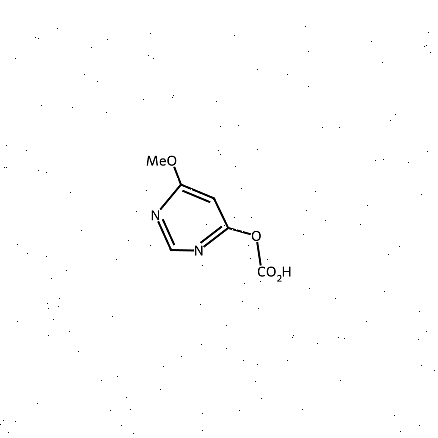 COc1cc(OC(=O)O)ncn1